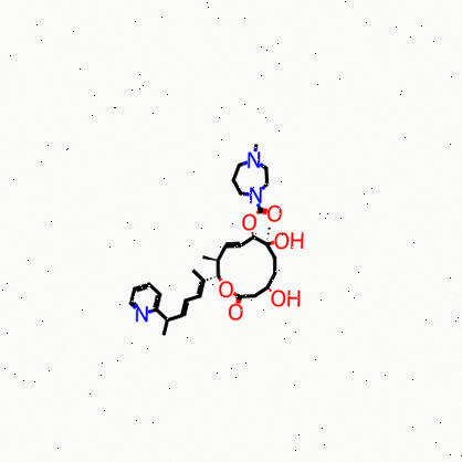 C/C(=C\C=C\C(C)c1ccccn1)[C@H]1OC(=O)C[C@@H](O)CC[C@](C)(O)[C@@H](OC(=O)N2CCCN(C)CC2)/C=C/[C@@H]1C